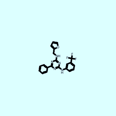 FC(F)(F)c1cccc(Nc2nc(NCc3ccco3)nc(-c3ccccc3)n2)c1